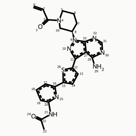 C=CC(=O)N1CCC[C@@H](n2nc(-c3ccc(-c4cccc(NC(C)=O)n4)s3)c3c(N)ncnc32)C1